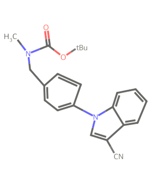 CN(Cc1ccc(-n2cc(C#N)c3ccccc32)cc1)C(=O)OC(C)(C)C